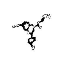 C=COC(=O)N1Cc2ccc(OC)cc2OC(c2ccc(Cl)cc2)C1